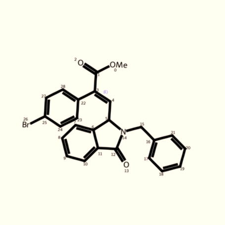 COC(=O)/C(=C/C1c2ccccc2C(=O)N1Cc1ccccc1)c1ccc(Br)cc1